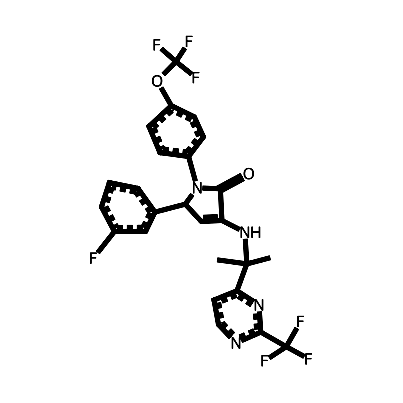 CC(C)(NC1=CC(c2cccc(F)c2)N(c2ccc(OC(F)(F)F)cc2)C1=O)c1ccnc(C(F)(F)F)n1